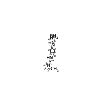 CC1CCCCN1CCCNCc1ccc(C=NN2CCN(C)CC2)cc1